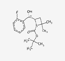 CC(C)(C)OC(=O)N1C([C@@H](O)c2ccccc2F)CC1(C)C